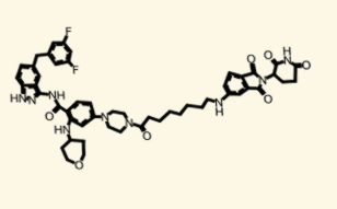 O=C1CCC(N2C(=O)c3ccc(NCCCCCCCC(=O)N4CCN(c5ccc(C(=O)Nc6n[nH]c7ccc(Cc8cc(F)cc(F)c8)cc67)c(NC6CCOCC6)c5)CC4)cc3C2=O)C(=O)N1